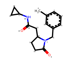 Cc1cccc(CN2C(=O)CCC2CC(=O)NC2CC2)c1